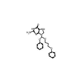 Nc1nc2c(c(=O)[nH]1)NCN2C(OCCCOc1ccccc1)Oc1ccccc1